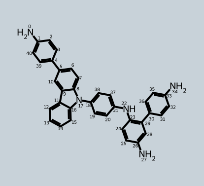 Nc1ccc(-c2ccc3c(c2)c2ccccc2n3-c2ccc(Nc3ccc(N)cc3-c3ccc(N)cc3)cc2)cc1